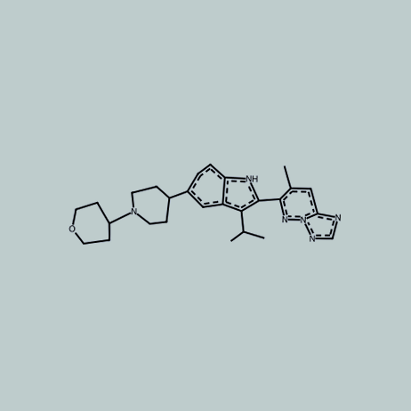 Cc1cc2ncnn2nc1-c1[nH]c2ccc(C3CCN(C4CCOCC4)CC3)cc2c1C(C)C